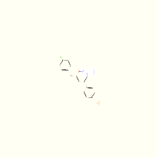 O=c1[nH]cc(-c2ccc(O)cc2)cc1Cc1ccc(Cl)cc1F